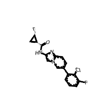 O=C(Nc1cn2cc(-c3cccc(F)c3Cl)ccc2n1)[C@@H]1C[C@@H]1F